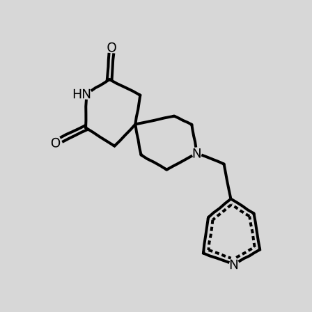 O=C1CC2(CCN(Cc3ccncc3)CC2)CC(=O)N1